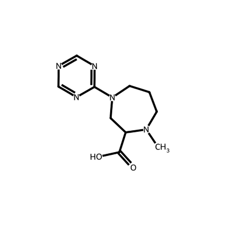 CN1CCCN(c2ncncn2)CC1C(=O)O